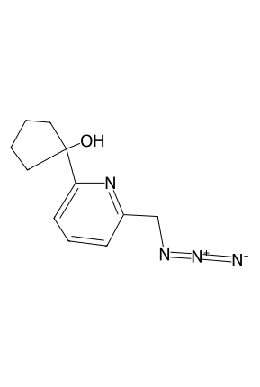 [N-]=[N+]=NCc1cccc(C2(O)CCCC2)n1